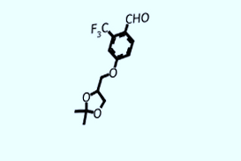 CC1(C)OCC(COc2ccc(C=O)c(C(F)(F)F)c2)O1